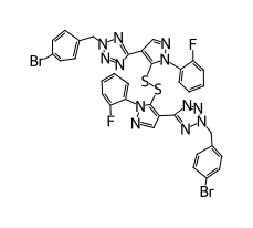 Fc1ccccc1-n1ncc(-c2nnn(Cc3ccc(Br)cc3)n2)c1SSc1c(-c2nnn(Cc3ccc(Br)cc3)n2)cnn1-c1ccccc1F